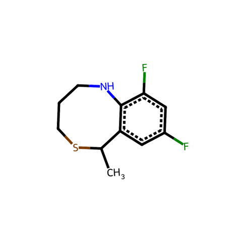 CC1SCCCNc2c(F)cc(F)cc21